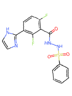 O=C(NNS(=O)(=O)c1ccccc1)c1c(F)ccc(-c2ncc[nH]2)c1F